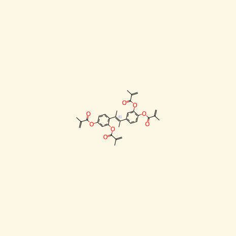 C=C(C)C(=O)Oc1ccc(/C(C)=C(\C)c2ccc(OC(=O)C(=C)C)c(OC(=O)C(=C)C)c2)c(OC(=O)C(=C)C)c1